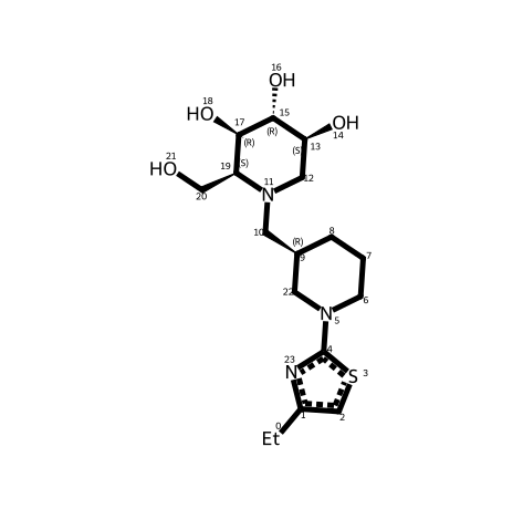 CCc1csc(N2CCC[C@H](CN3C[C@H](O)[C@@H](O)[C@H](O)[C@@H]3CO)C2)n1